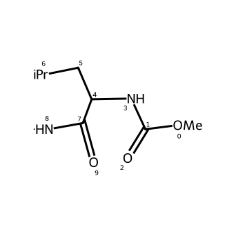 COC(=O)NC(CC(C)C)C([NH])=O